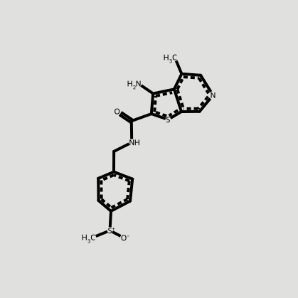 Cc1cncc2sc(C(=O)NCc3ccc([S+](C)[O-])cc3)c(N)c12